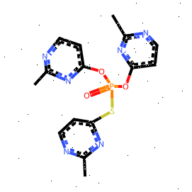 Cc1nccc(OP(=O)(Oc2ccnc(C)n2)Sc2ccnc(C)n2)n1